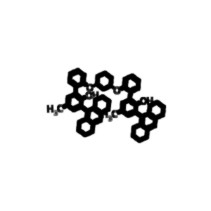 Cc1cc(-c2ccccc2O[C@@H]2CCC[C@H](Oc3ccccc3-c3cc(C)cc(-c4c5c(cc6c4CCCC6)CCCC5)c3O)C2)c(O)c(-c2c3c(cc4c2CCCC4)CCCC3)c1